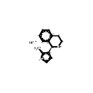 Cc1sccc1[C@@H]1NCCc2ccccc21.Cl